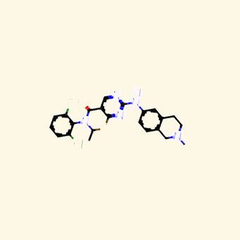 CC1Sc2nc(Nc3ccc4c(c3)CCN(C)C4)ncc2C(=O)N1c1c(F)cccc1Cl